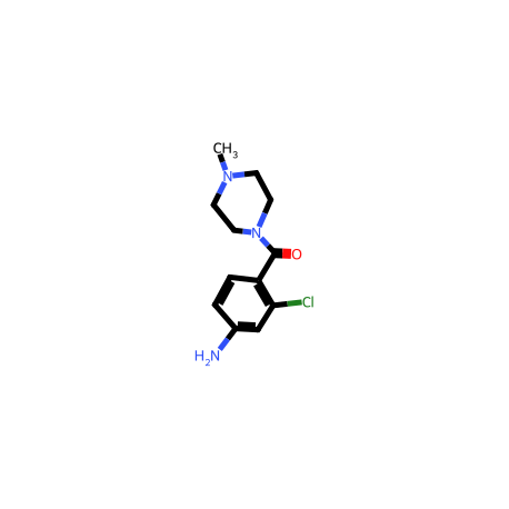 CN1CCN(C(=O)c2ccc(N)cc2Cl)CC1